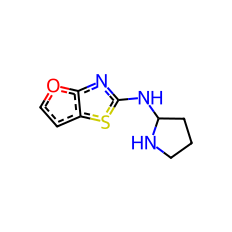 c1cc2sc(NC3CCCN3)nc2o1